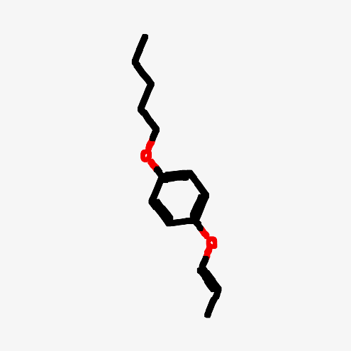 CC=COc1ccc(OCCCCC)cc1